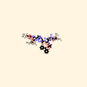 CC(C)(C)OC(=O)NCC[C@H](NC(=O)OC(C)(C)C)c1cnn(C[C@@H]2NC(=O)[C@H]2NC(=O)C(=NOC2(C(=O)OC(c3ccccc3)c3ccccc3)CC2)c2csc(NC(=O)OC(C)(C)C)n2)n1